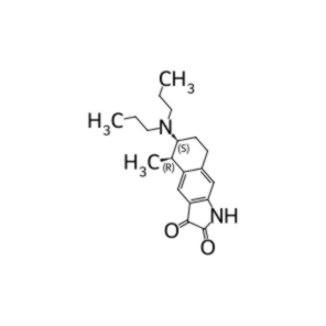 CCCN(CCC)[C@H]1CCc2cc3c(cc2[C@H]1C)C(=O)C(=O)N3